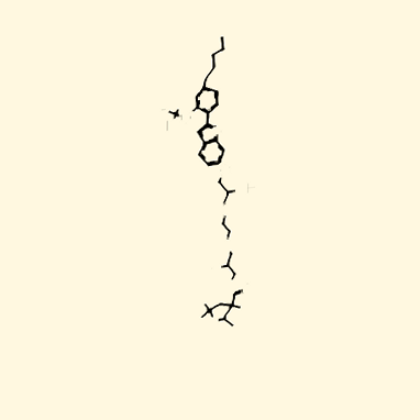 CCCCCc1ccc(-c2cc3ccc(OCC(O)COCCOCC(O)COC(=O)C(C)(CC(C)(C)C)C(C)C)cc3s2)c(OC(F)(F)F)c1